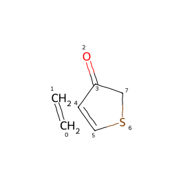 C=C.O=C1C=CSC1